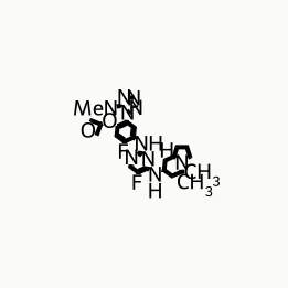 CNc1nnnn1-c1cc(Nc2ncc(F)c(N[C@@H]3C[C@@H]4CCCN4C(C)(C)C3)n2)c(F)cc1OC1COC1